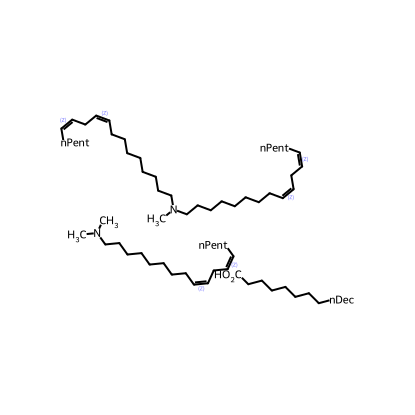 CCCCC/C=C\C/C=C\CCCCCCCCN(C)C.CCCCC/C=C\C/C=C\CCCCCCCCN(C)CCCCCCCC/C=C\C/C=C\CCCCC.CCCCCCCCCCCCCCCCCC(=O)O